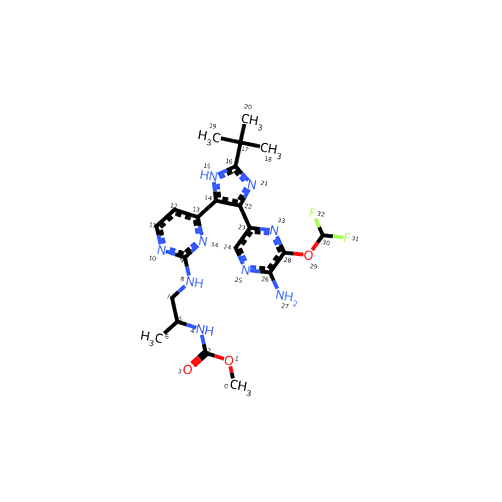 COC(=O)NC(C)CNc1nccc(-c2[nH]c(C(C)(C)C)nc2-c2cnc(N)c(OC(F)F)n2)n1